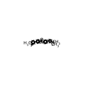 Cc1ccc(-c2ccc(C(=O)Nc3ccc(N4CCC(N(C)C)C4)cc3)cc2)cc1F